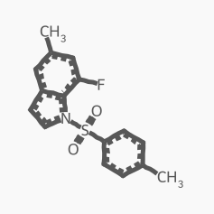 Cc1ccc(S(=O)(=O)n2ccc3cc(C)cc(F)c32)cc1